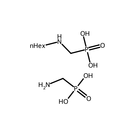 CCCCCCNCP(=O)(O)O.NCP(=O)(O)O